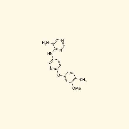 COc1cc(Oc2ccc(Nc3ncncc3N)cn2)ccc1C